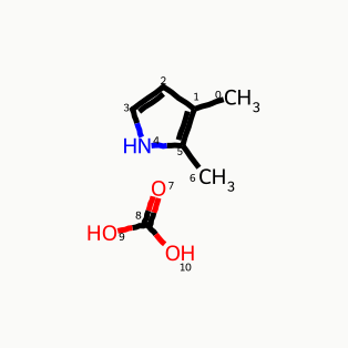 Cc1cc[nH]c1C.O=C(O)O